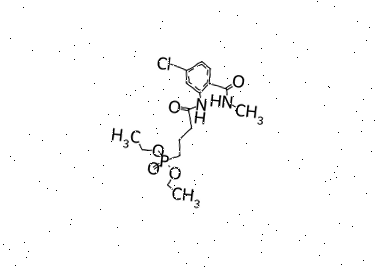 CCOP(=O)(CCCC(=O)Nc1cc(Cl)ccc1C(=O)NC)OCC